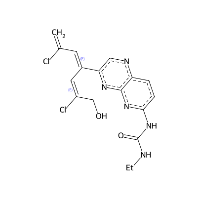 C=C(Cl)/C=C(\C=C(\Cl)CO)c1cnc2ccc(NC(=O)NCC)nc2n1